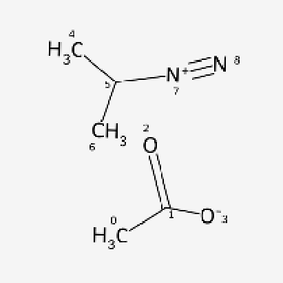 CC(=O)[O-].CC(C)[N+]#N